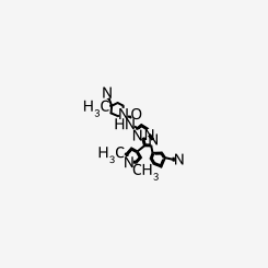 Cc1cc(-c2c(-c3cccc(C#N)c3)nn3ccc(NC(=O)N4CCC(C)(C#N)CC4)nc23)cc(C)n1